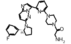 NCC(=O)N1CCN(c2cccc(-c3cnc4ccc(N5CCC[C@@H]5c5cccc(F)c5)nn34)n2)CC1